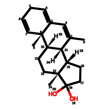 CC1=CC2=CCC=C[C@]2(C)[C@@H]2CC[C@@]3(C)[C@@H](CCC3(O)O)[C@H]12